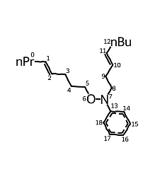 CCCC=CCCCON(CCC=CCCCC)c1ccccc1